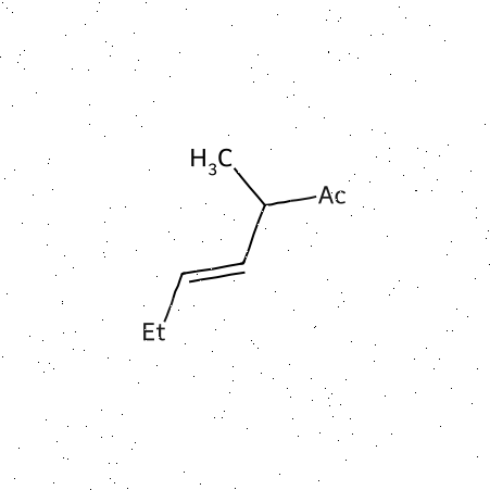 CCC=CC(C)C(C)=O